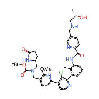 COc1nc(-c2ccnc(-c3cccc(NC(=O)c4ccc(CNC[C@H](C)O)cn4)c3C)c2Cl)ccc1CN(C[C@@H]1CCC(=O)N1)C(=O)OC(C)(C)C